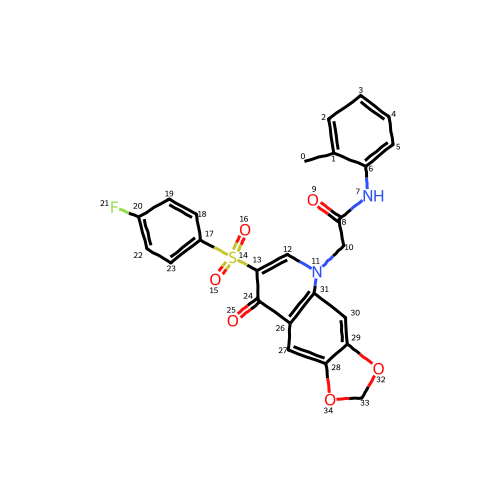 Cc1ccccc1NC(=O)Cn1cc(S(=O)(=O)c2ccc(F)cc2)c(=O)c2cc3c(cc21)OCO3